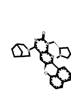 CN1CCC[C@H]1Cn1c(=O)nc(N2CC3CCC(C3)C2)c2cc(F)c(-c3cccc4cccc(Cl)c34)nc21